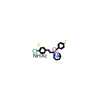 CC(=O)Nc1cc(Cl)c(F)cc1/C=C/C(=O)N1CC2CCC1CN(Cc1ccc(F)cc1)C2